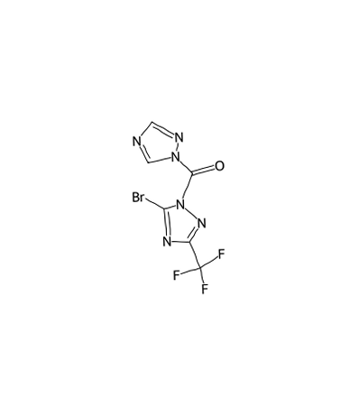 O=C(n1cncn1)n1nc(C(F)(F)F)nc1Br